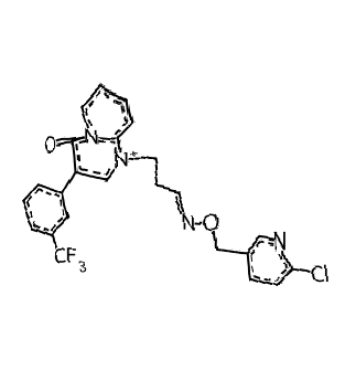 O=c1c(-c2cccc(C(F)(F)F)c2)c[n+](CCC=NOCc2ccc(Cl)nc2)c2ccccn12